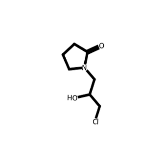 O=C1CCCN1CC(O)CCl